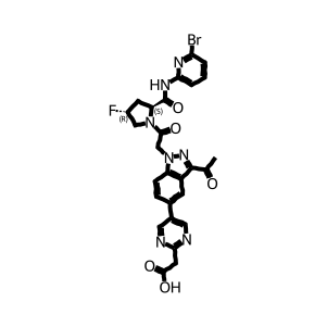 CC(=O)c1nn(CC(=O)N2C[C@H](F)C[C@H]2C(=O)Nc2cccc(Br)n2)c2ccc(-c3cnc(CC(=O)O)nc3)cc12